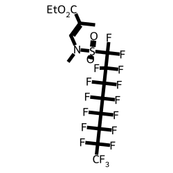 CCOC(=O)C(C)=CN(C)S(=O)(=O)C(F)(F)C(F)(F)C(F)(F)C(F)(F)C(F)(F)C(F)(F)C(F)(F)C(F)(F)F